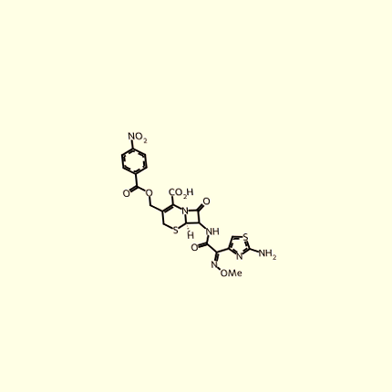 CO/N=C(/C(=O)NC1C(=O)N2C(C(=O)O)=C(COC(=O)c3ccc([N+](=O)[O-])cc3)CS[C@H]12)c1csc(N)n1